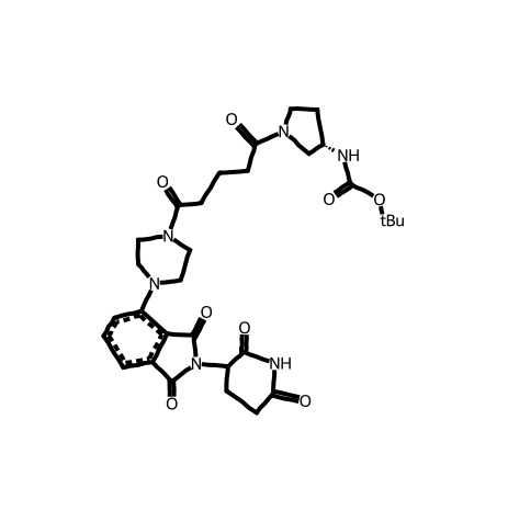 CC(C)(C)OC(=O)N[C@H]1CCN(C(=O)CCCC(=O)N2CCN(c3cccc4c3C(=O)N(C3CCC(=O)NC3=O)C4=O)CC2)C1